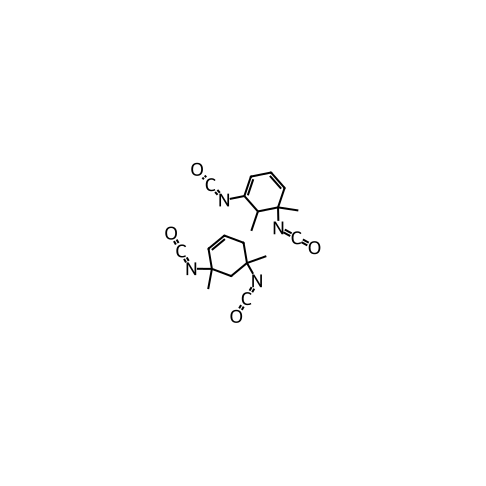 CC1(N=C=O)C=CCC(C)(N=C=O)C1.CC1C(N=C=O)=CC=CC1(C)N=C=O